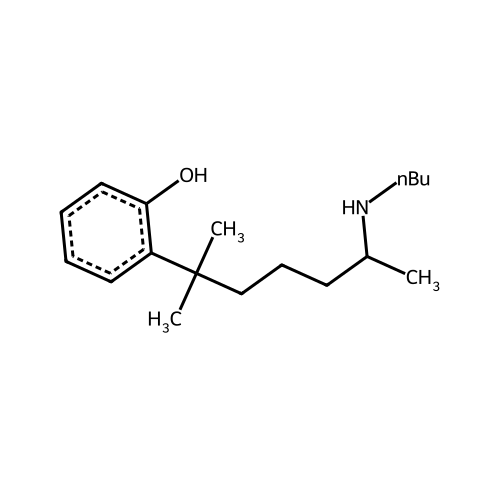 CCCCNC(C)CCCC(C)(C)c1ccccc1O